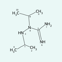 CC(C)NN(C(=N)N)C(C)C